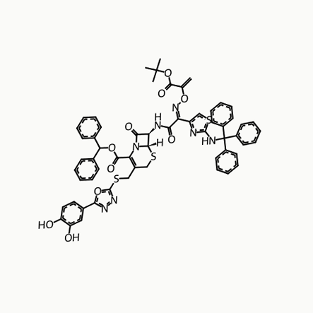 C=C(ON=C(C(=O)N[C@@H]1C(=O)N2C(C(=O)OC(c3ccccc3)c3ccccc3)=C(CSc3nnc(-c4ccc(O)c(O)c4)o3)CS[C@@H]12)c1csc(NC(c2ccccc2)(c2ccccc2)c2ccccc2)n1)C(=O)OC(C)(C)C